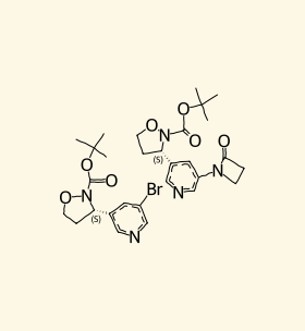 CC(C)(C)OC(=O)N1OCC[C@H]1c1cncc(Br)c1.CC(C)(C)OC(=O)N1OCC[C@H]1c1cncc(N2CCC2=O)c1